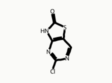 O=c1[nH]c2nc(Cl)ncc2s1